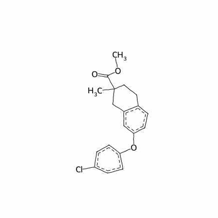 COC(=O)C1(C)CCc2ccc(Oc3ccc(Cl)cc3)cc2C1